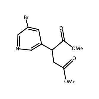 COC(=O)CC(C(=O)OC)c1cncc(Br)c1